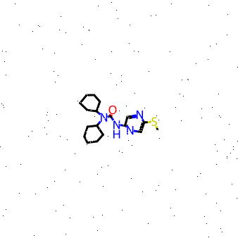 CSc1cnc(NC(=O)N(C2CCCCC2)C2CCCCC2)cn1